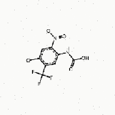 O=C(O)Nc1cc(C(F)(F)F)c(Cl)cc1[N+](=O)[O-]